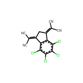 N#CC(C#N)=C1CC(=C(C#N)C#N)c2c(Cl)c(Cl)c(Cl)c(Cl)c21